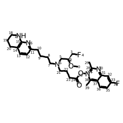 CO[C@H](CF)CN(CCCCc1ccc2c(n1)NCCC2)CCCC(=O)O[n+]1c(C)nc2cc(F)ccc2c1C